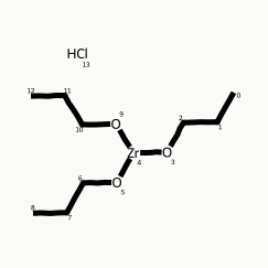 CCC[O][Zr]([O]CCC)[O]CCC.Cl